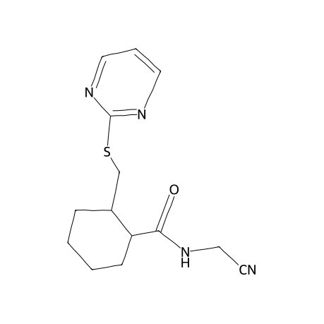 N#CCNC(=O)C1CCCCC1CSc1ncccn1